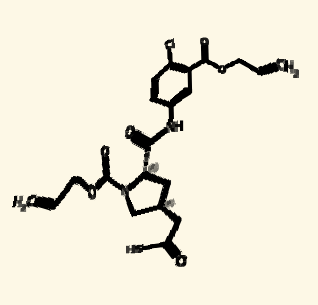 C=CCOC(=O)c1cc(NC(=O)[C@@H]2C[C@@H](CC(=O)S)CN2C(=O)OCC=C)ccc1Cl